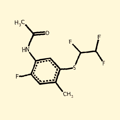 CC(=O)Nc1cc(SC(F)C(F)F)c(C)cc1F